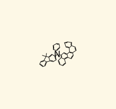 CC1(C)c2ccccc2-c2ccc(N(c3ccccc3)c3cc4c(ccc5ccc6ccccc6c54)c4ccccc34)cc21